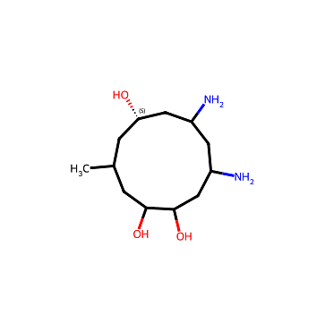 CC1CC(O)C(O)CC(N)CC(N)C[C@@H](O)C1